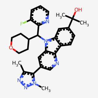 Cc1nnn(C)c1-c1cnc2c3ccc(C(C)(C)O)cc3n(C(c3ncccc3F)C3CCOCC3)c2c1